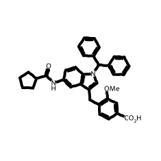 COc1cc(C(=O)O)ccc1Cc1cn(C(c2ccccc2)c2ccccc2)c2ccc(NC(=O)C3CCCC3)cc12